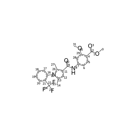 COC(=O)c1ccc(NC(=O)c2cc(C)n(-c3ccccc3C(F)(F)F)c2C)cc1OC